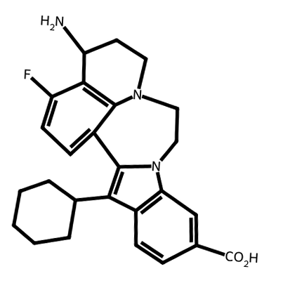 NC1CCN2CCn3c(c(C4CCCCC4)c4ccc(C(=O)O)cc43)-c3ccc(F)c1c32